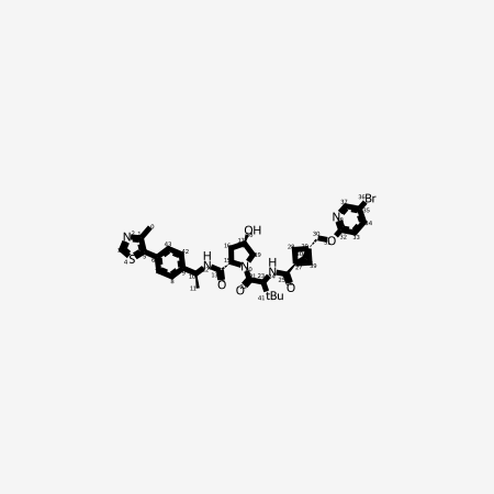 Cc1ncsc1-c1ccc([C@H](C)NC(=O)[C@@H]2C[C@@H](O)CN2C(=O)C(NC(=O)[C@]23C[C@@](COc4ccc(Br)cn4)(C2)C3)C(C)(C)C)cc1